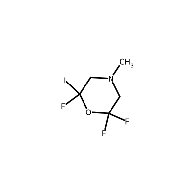 CN1CC(F)(F)OC(F)(I)C1